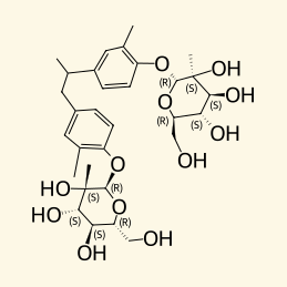 Cc1cc(CC(C)c2ccc(O[C@H]3O[C@H](CO)[C@@H](O)[C@H](O)[C@]3(C)O)c(C)c2)ccc1O[C@H]1O[C@H](CO)[C@@H](O)[C@H](O)[C@]1(C)O